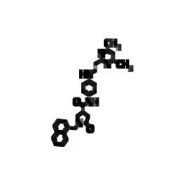 Cc1cc(C)nc(CCNc2ccc(NC(=O)C3CC(=O)N(Cc4cccc5ccccc45)C3)cc2)n1